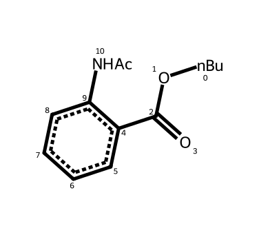 CCCCOC(=O)c1ccccc1NC(C)=O